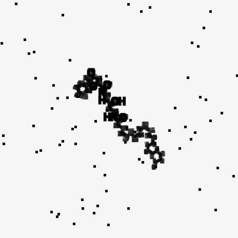 CC/C=C\C/C=C\C/C=C\C/C=C\C/C=C\C/C=C\CCC(=O)NCCC(O)CCNC(=O)C1=CC(=O)C(C)(c2ccccc2)O1